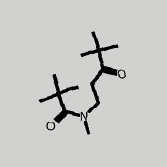 CN(CCC(=O)C(C)(C)C)C(=O)C(C)(C)C